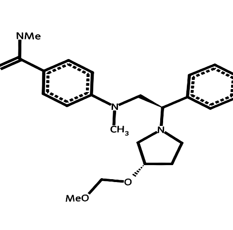 CNC(=O)c1ccc(N(C)C[C@@H](c2ccccc2)N2CC[C@H](OCOC)C2)cc1